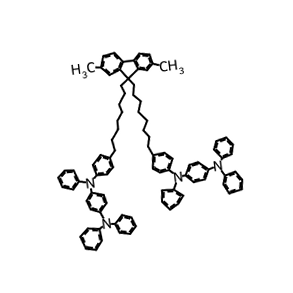 Cc1ccc2c(c1)C(CCCCCCCCc1ccc(N(c3ccccc3)c3ccc(N(c4ccccc4)c4ccccc4)cc3)cc1)(CCCCCCCCc1ccc(N(c3ccccc3)c3ccc(N(c4ccccc4)c4ccccc4)cc3)cc1)c1cc(C)ccc1-2